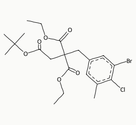 CCOC(=O)C(CC(=O)OC(C)(C)C)(Cc1cc(C)c(Cl)c(Br)c1)C(=O)OCC